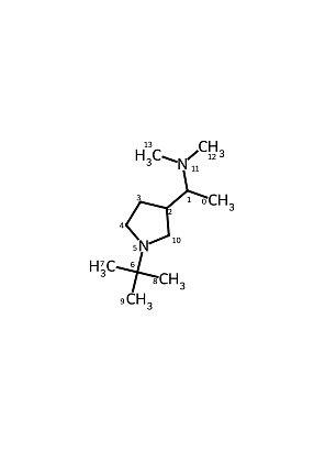 CC(C1CCN(C(C)(C)C)C1)N(C)C